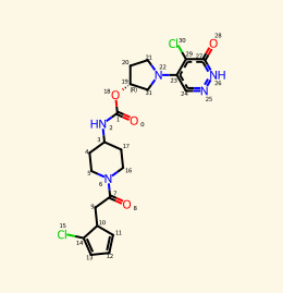 O=C(NC1CCN(C(=O)CC2C=CC=C2Cl)CC1)O[C@@H]1CCN(c2cn[nH]c(=O)c2Cl)C1